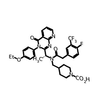 CCOc1ccc(-n2c([C@@H](C)N(CC3CCN(C(=O)O)CC3)C(=O)Cc3ccc(F)c(C(F)(F)F)c3)nc3ncccc3c2=O)cc1